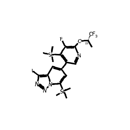 C[C@H](Oc1ncc(-c2cc([Si](C)(C)C)n3nnc(I)c3c2)c([Si](C)(C)C)c1F)C(F)(F)F